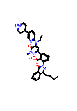 CCCCc1nn(-c2cccc(-c3cc(N(CC)c4ccc(C5CCNCC5)cn4)c(=O)n(C)n3)c2CO)c(=O)c2ccccc12